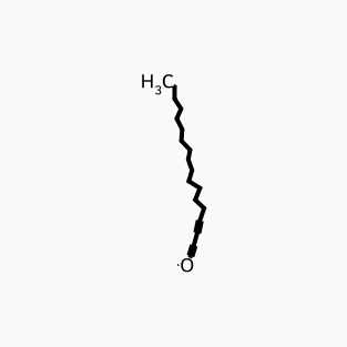 CCCCCCCCCCCCCCC#CC#C[O]